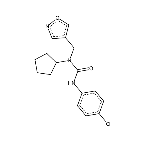 O=C(Nc1ccc(Cl)cc1)N(Cc1cnoc1)C1CCCC1